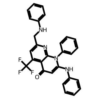 O=c1cc(Nc2ccccc2)n(-c2ccccc2)c2nc(CNc3ccccc3)cc(C(F)(F)F)c12